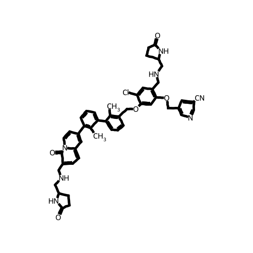 Cc1c(COc2cc(OCc3cncc(C#N)c3)c(CNCC3CCC(=O)N3)cc2Cl)cccc1-c1cccc(-c2ccn3c(=O)c(CNCC4CCC(=O)N4)ccc3c2)c1C